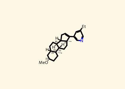 CCc1cncc(C2=CC[C@H]3[C@@H]4CC[C@H]5C[C@@H](OC)CC[C@]5(C)[C@H]4CC[C@]23C)c1